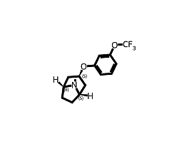 CN1[C@@H]2CC[C@H]1C[C@H](Oc1cccc(OC(F)(F)F)c1)C2